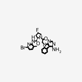 Cc1ccc(Br)nc1NC(=O)[C@H]1C[C@@H](F)CN1C(=O)Cn1c2ccccc2c2c(N)ncnc21